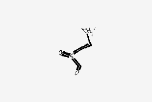 [CH2]C=S(=O)=O